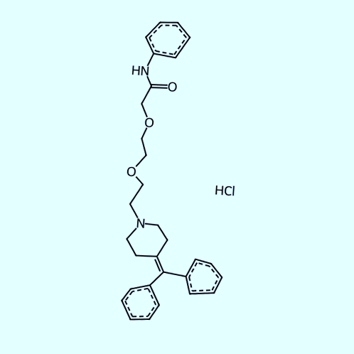 Cl.O=C(COCCOCCN1CCC(=C(c2ccccc2)c2ccccc2)CC1)Nc1ccccc1